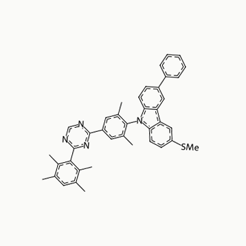 CSc1ccc2c(c1)c1cc(-c3ccccc3)ccc1n2-c1c(C)cc(-c2ncnc(-c3c(C)c(C)cc(C)c3C)n2)cc1C